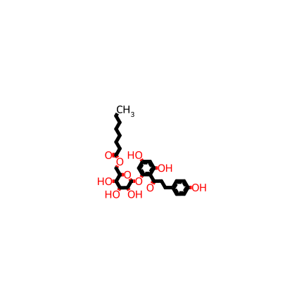 CCCCCCCC(=O)OCC1OC(Oc2cc(O)cc(O)c2C(=O)CCc2ccc(O)cc2)C(O)C(O)C1O